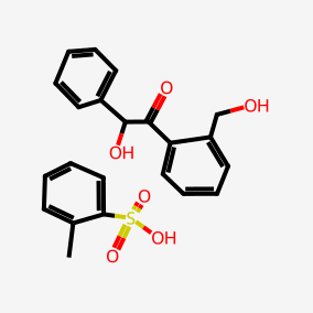 Cc1ccccc1S(=O)(=O)O.O=C(c1ccccc1CO)C(O)c1ccccc1